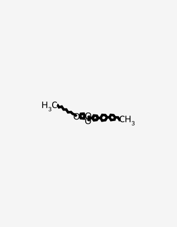 CCCCCCCCCCOc1ccc(OC(=O)c2ccc(C3CCC(C4CCC(CCC)CC4)CC3)cc2)cc1